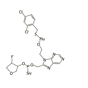 FC1COCC1OP(S)OCc1nc2cncnc2n1CCOPSCc1ccc(Cl)cc1Cl